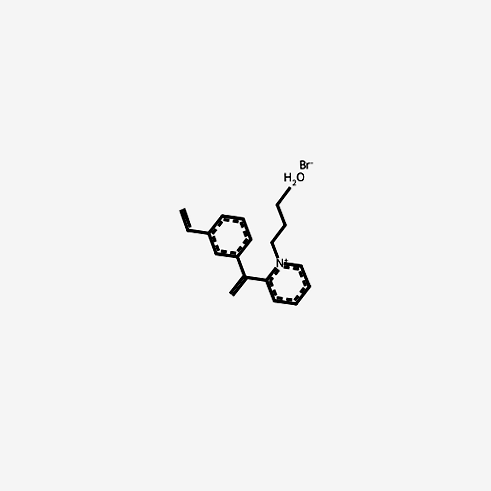 C=Cc1cccc(C(=C)c2cccc[n+]2CCCC)c1.O.[Br-]